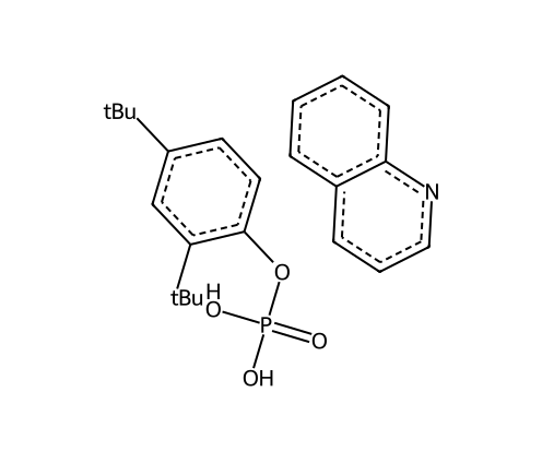 CC(C)(C)c1ccc(OP(=O)(O)O)c(C(C)(C)C)c1.c1ccc2ncccc2c1